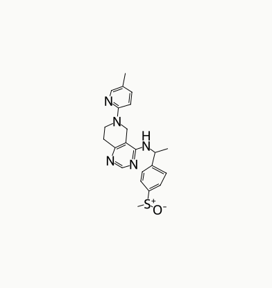 Cc1ccc(N2CCc3ncnc(NC(C)c4ccc([S+](C)[O-])cc4)c3C2)nc1